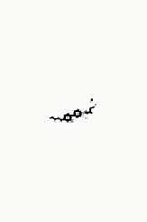 C=C(CCN(C)CC)C(=O)Oc1ccc(-c2ccc(CCCCC)cc2F)cc1